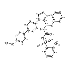 COc1ccc(-c2ccc(-n3ccnc3C(Cc3ccccc3)NC(=O)NS(=O)(=O)c3ccccc3C)cc2)cn1